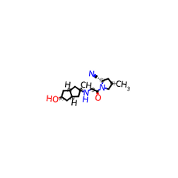 C[C@H]1C[C@@H](C#N)N(C(=O)CN[C@]2(C)C[C@H]3C[C@@H](O)C[C@H]3C2)C1